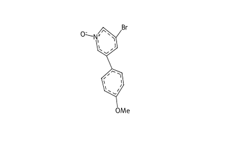 COc1ccc(-c2cc(Br)c[n+]([O-])c2)cc1